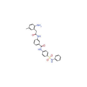 Cc1ccc(N)c(CC(=O)Nc2cccc(C(=O)Nc3ccc(S(=O)(=O)Nc4ccccc4)cc3)c2)c1